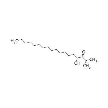 CCCCCCCCCCCCCCC(O)C(=O)C(C)C